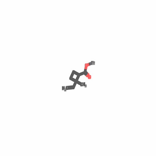 C=CC1(C)CCC1C(=O)OCC